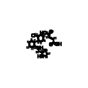 Clc1ccccc1-c1ccccc1NCC1=NCCN1.O=C(O)C=CC(=O)O